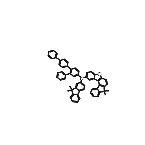 CC1(C)c2ccccc2-c2ccc(N(c3ccc(-c4ccc(-c5ccccc5)cc4)c(-c4ccccc4)c3)c3ccc4oc5ccc6c(c5c4c3)-c3ccccc3C6(C)C)cc21